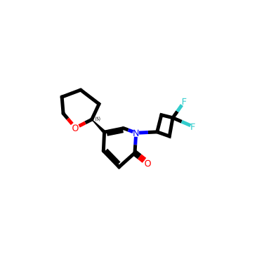 O=c1ccc([C@@H]2CCCCO2)cn1C1CC(F)(F)C1